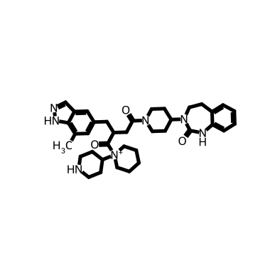 Cc1cc(CC(CC(=O)N2CCC(N3CCc4ccccc4NC3=O)CC2)C(=O)[N+]2(C3CCNCC3)CCCCC2)cc2cn[nH]c12